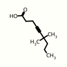 CCCC(C)(C)C#CCCC(=O)O